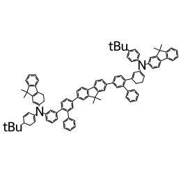 CC(C)(C)c1ccc(N(C2=CCCC(c3ccc(-c4ccc5c(c4)C(C)(C)c4cc(-c6ccc(-c7cccc(N(C8=CCC(C(C)(C)C)C=C8)C8=CC9=C(CC8)c8ccccc8C9(C)C)c7)c(-c7ccccc7)c6)ccc4-5)cc3-c3ccccc3)=C2)c2ccc3c(c2)C(C)(C)c2ccccc2-3)cc1